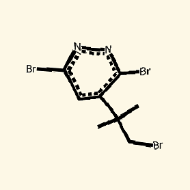 CC(C)(CBr)c1cc(Br)nnc1Br